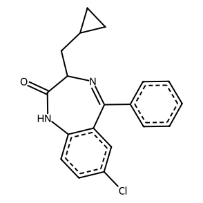 O=C1Nc2ccc(Cl)cc2C(c2ccccc2)=NC1CC1CC1